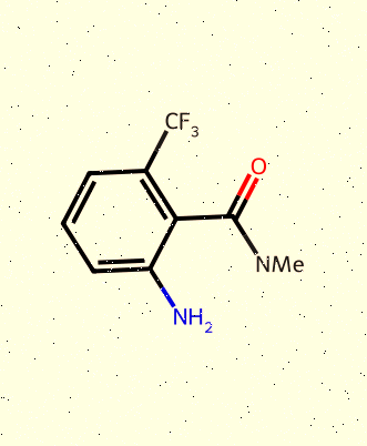 CNC(=O)c1c(N)cccc1C(F)(F)F